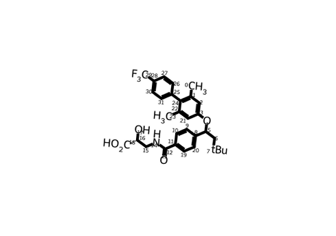 Cc1cc(OC(CC(C)(C)C)c2ccc(C(=O)NC[C@@H](O)C(=O)O)cc2)cc(C)c1-c1ccc(C(F)(F)F)cc1